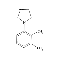 Cc1cccc(N2C[CH]CC2)c1C